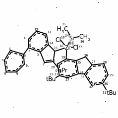 CCCC1=Cc2c(-c3ccccc3)cccc2[CH]1[Zr]([Cl])([Cl])([c]1cc(C(C)(C)C)cc2c1Cc1ccc(C(C)(C)C)cc1-2)[SiH](C)C